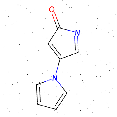 O=C1C=C(n2cccc2)C=N1